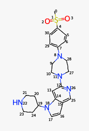 CS(=O)(=O)c1ccc(N2CCN(c3cc4c(ccn4C4CCNCC4)cn3)CC2)cc1